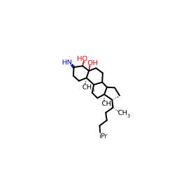 CC(C)CCC[C@@H](C)[C@H]1CCC2C3CC[C@@]4(O)[C@H](O)C(=N)CC[C@]4(C)C3CC[C@@]21C